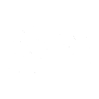 CCOC(=O)N(c1ccccc1Cl)c1c(C)noc1-c1ccc(-c2cc(C(=O)O)ccn2)cc1